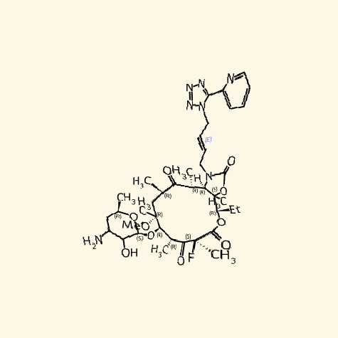 CC[C@H]1OC(=O)[C@@](C)(F)C(=O)[C@H](C)[C@@H](O[C@@H]2O[C@H](C)CC(N)C2O)[C@](C)(OC)C[C@@H](C)C(=O)[C@H](C)[C@H]2N(C/C=C/Cn3nnnc3-c3ccccn3)C(=O)O[C@]12C